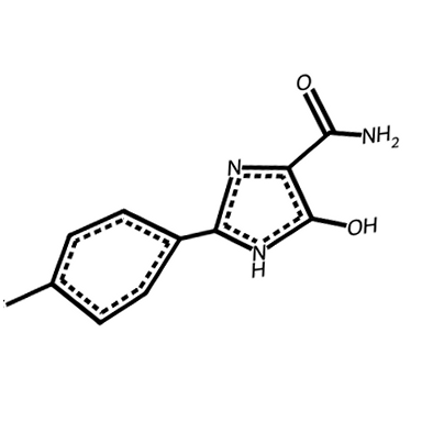 NC(=O)c1nc(-c2ccc(F)cc2)[nH]c1O